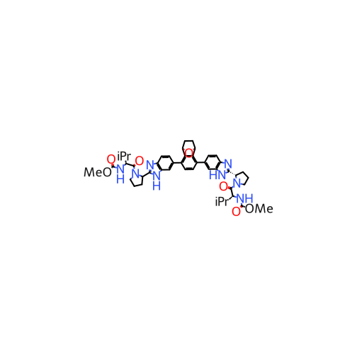 COC(=O)N[C@H](C(=O)N1CCCC1c1nc2ccc(-c3ccc(-c4ccc5nc([C@@H]6CCCN6C(=O)[C@@H](NC(=O)OC)C(C)C)[nH]c5c4)c4c3C3CCC4O3)cc2[nH]1)C(C)C